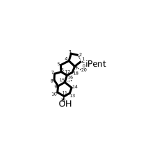 CCC[C@@H](C)[C@H]1CCC2CC3CCC4C[C@H](O)CC[C@]4(C)C3C[C@@]21C